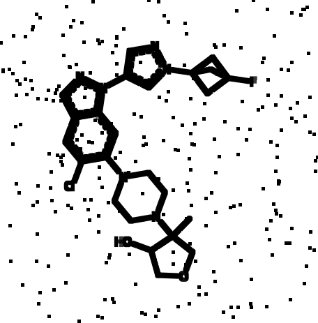 CC1(N2CCN(c3cc4c(cnn4-c4cnn(C56CC(F)(C5)C6)c4)cc3Cl)CC2)COCC1O